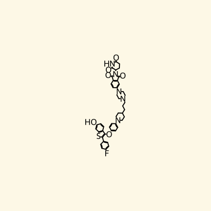 O=C1CCC(N2C(=O)c3ccc(N4CCN(CCCC5CCN(c6ccc(Oc7c(-c8ccc(F)cc8)sc8cc(O)ccc78)cc6)CC5)CC4)cc3C2=O)C(=O)N1